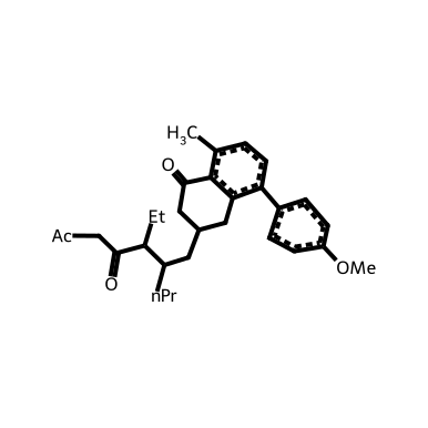 CCCC(CC1CC(=O)c2c(C)ccc(-c3ccc(OC)cc3)c2C1)C(CC)C(=O)CC(C)=O